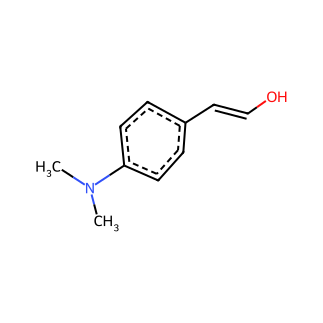 CN(C)c1ccc(C=CO)cc1